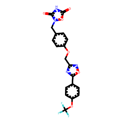 O=c1[nH]c(=O)n(Cc2ccc(OCc3noc(-c4ccc(OC(F)(F)F)cc4)n3)cc2)o1